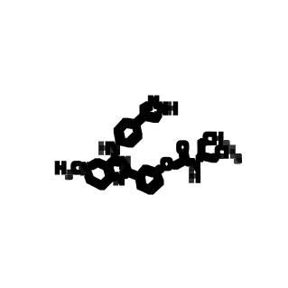 CCC(CC)NC(=O)COc1cccc(-c2nc3c(c(Nc4ccc(-c5cn[nH]c5)cc4)n2)CN(C)CC3)c1